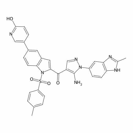 Cc1ccc(S(=O)(=O)n2c(C(=O)c3cnn(-c4ccc5[nH]c(C)nc5c4)c3N)cc3cc(-c4ccc(O)nc4)ccc32)cc1